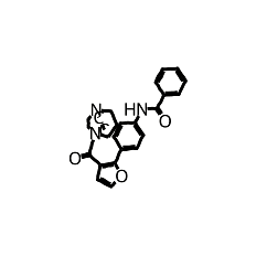 O=C(Nc1ccc(-c2occc2C(=O)N2CCN3CCC2CC3)cc1)c1ccccc1